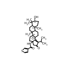 CC(C)C1=C2C3CCC4C(C)(CCC5C(C)(C)[C@@H](O)CC[C@@]54C)[C@]3(C)CCC2(NC(=O)c2ccsc2)CC1=O